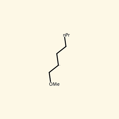 CCCCC[CH]COC